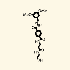 COc1cc(/C=N/NC(=O)c2ccc(C(=O)NCCC(=O)NCCO)cc2)cc(OC)c1